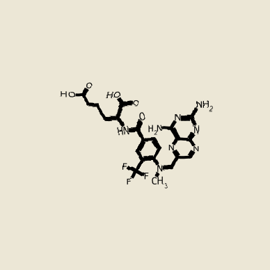 CN(Cc1cnc2nc(N)nc(N)c2n1)c1ccc(C(=O)NC(CCCC(=O)O)C(=O)O)cc1C(F)(F)F